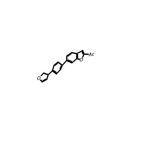 CC(=O)c1cc2ccc(-c3ccc(C4C=COC4)cc3)cc2o1